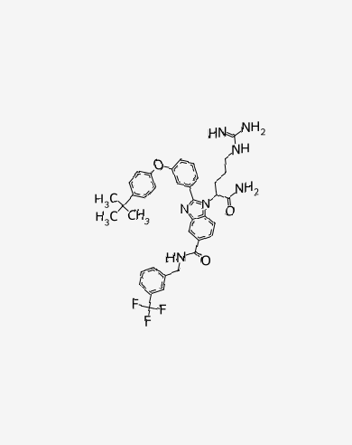 CC(C)(C)c1ccc(Oc2cccc(-c3nc4cc(C(=O)NCc5cccc(C(F)(F)F)c5)ccc4n3C(CCCNC(=N)N)C(N)=O)c2)cc1